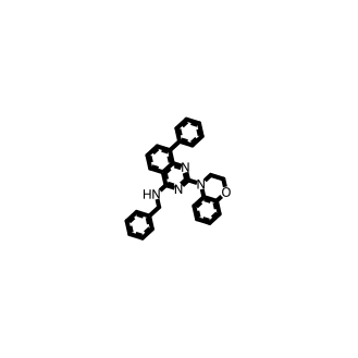 c1ccc(CNc2nc(N3CCOc4ccccc43)nc3c(-c4ccccc4)cccc23)cc1